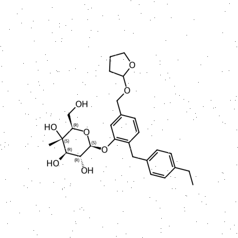 CCc1ccc(Cc2ccc(COC3CCCO3)cc2O[C@@H]2O[C@H](CO)[C@@](C)(O)[C@H](O)[C@H]2O)cc1